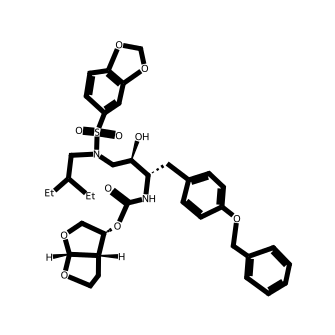 CCC(CC)CN(C[C@@H](O)[C@H](Cc1ccc(OCc2ccccc2)cc1)NC(=O)O[C@H]1CO[C@H]2OCC[C@H]21)S(=O)(=O)c1ccc2c(c1)OCO2